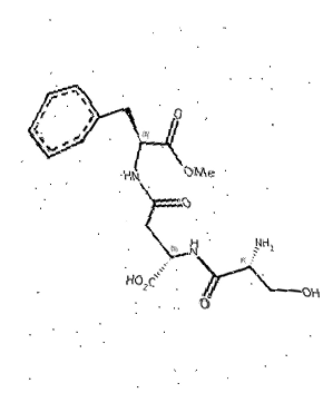 COC(=O)[C@H](Cc1ccccc1)NC(=O)C[C@H](NC(=O)[C@H](N)CO)C(=O)O